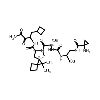 CC(C)(C)C(CNC(=O)C1(N)CC1)NC(=O)N[C@H](C(=O)N1C[C@]2(C[C@H]1C(=O)NC(CC1CCC1)C(=O)C(N)=O)C(C)(C)C21CCC1)C(C)(C)C